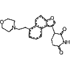 O=C1CCC(c2coc3ccc4c(CCN5CCOCC5)cccc4c23)C(=O)N1